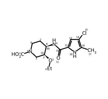 CCO[C@H]1CN(C(=O)O)CC[C@H]1NC(=O)c1cc(Cl)c(C)[nH]1